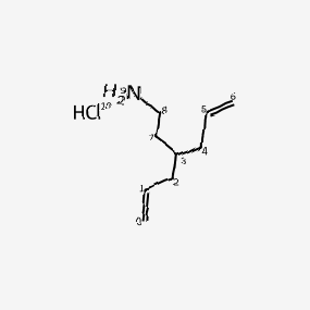 C=CCC(CC=C)CCN.Cl